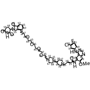 COc1cc2ncnc(Nc3ccc(F)c(Cl)c3)c2cc1NC(=O)/C=C/CN1CCC(N2CCN(CCOCCOCCOCCOCCSc3cccc4c3CN(C3CCC(=O)NC3=O)C4=O)CC2)CC1